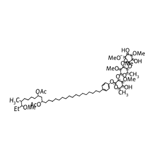 CCC(OC)C(C)CCCCC(CC(CCCCCCCCCCCCCCCCCc1ccc(O[C@@H]2O[C@@H](C)[C@H](O)[C@@H](OC)[C@H]2O[C@@H]2O[C@@H](C)[C@H](O[C@H]3O[C@H](COC)[C@@H](O)[C@H](OC)[C@H]3O)[C@@H](OC)[C@H]2OC)cc1)OC(C)=O)OC(C)=O